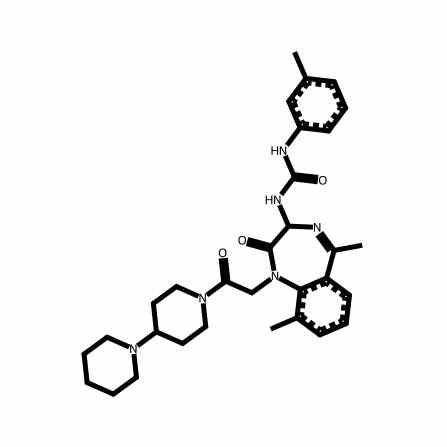 CC1=NC(NC(=O)Nc2cccc(C)c2)C(=O)N(CC(=O)N2CCC(N3CCCCC3)CC2)c2c(C)cccc21